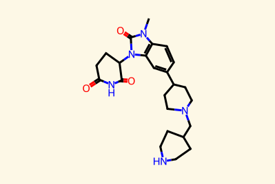 Cn1c(=O)n(C2CCC(=O)NC2=O)c2cc(C3CCN(CC4CCNCC4)CC3)ccc21